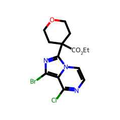 CCOC(=O)C1(c2nc(Br)c3c(Cl)nccn23)CCOCC1